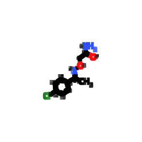 CC(=NOCC(N)=O)c1ccc(Cl)cc1